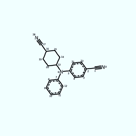 N#Cc1ccc(N(c2ccccc2)C2CCC(C#N)CC2)cc1